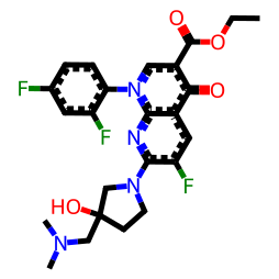 CCOC(=O)c1cn(-c2ccc(F)cc2F)c2nc(N3CCC(O)(CN(C)C)C3)c(F)cc2c1=O